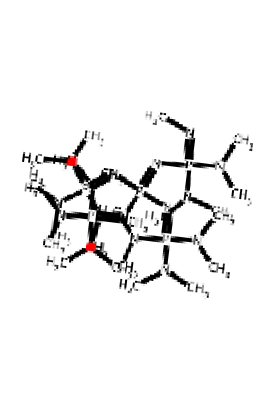 CN=P(N=P(N=P(N(C)C)(N(C)C)N(C)C)(N=P(N(C)C)(N(C)C)N(C)C)N=P(N(C)C)(N(C)C)N(C)C)(N(C)C)N(C)C